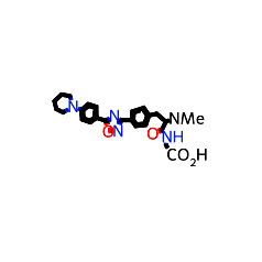 CNC(Cc1ccc(-c2noc(-c3ccc(N4CCCCC4)cc3)n2)cc1)C(=O)NCC(=O)O